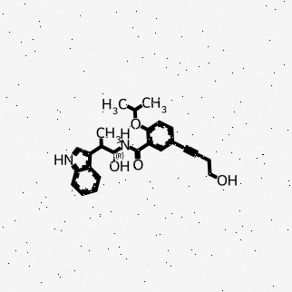 CC(C)Oc1ccc(C#CCCO)cc1C(=O)N[C@H](O)C(C)c1c[nH]c2ccccc12